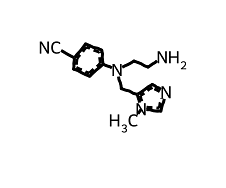 Cn1cncc1CN(CCN)c1ccc(C#N)cc1